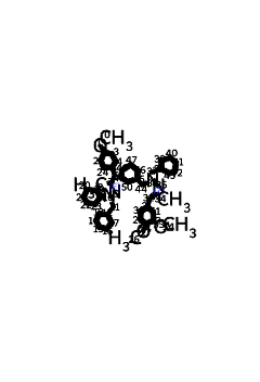 COc1ccc(C/C(C)=N/N(Cc2ccccc2)c2ccccc2)cc1.COc1ccc(C/C(C)=N\N(Cc2ccccc2)Cc2ccccc2)cc1OC